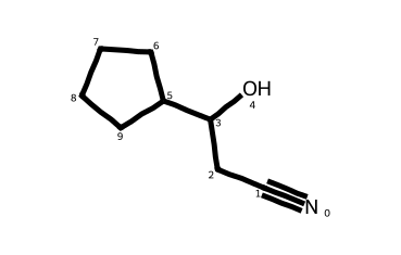 N#CCC(O)C1CCCC1